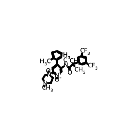 Cc1ccccc1-c1cc([N+]2([O-])CCN(C)CC2)[n+]([O-])cc1N(C)C(=O)C(C)(C)c1cc(C(F)(F)F)cc(C(F)(F)F)c1